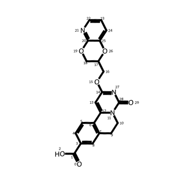 O=C(O)c1ccc2c(c1)CCn1c-2cc(OCC2COc3ncccc3O2)nc1=O